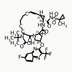 CC(C)(C)N(C(=O)O)[C@H]1CCCCCC=C[C@@H]2C[C@@]2(C(=O)NS(=O)(=O)C2(C)CC2)NC(=O)[C@@H]2C[C@@H](Oc3nc4cc(F)ccc4nc3C(F)(F)F)CN2C1=O